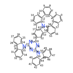 c1ccc2c(c1)c1ccccc1c1cccc3c4cc(-c5nc(-n6c7ccccc7c7ccccc76)nc(-n6c7ccccc7c7ccccc76)n5)cc5c6cccc2c6n(c13)c54